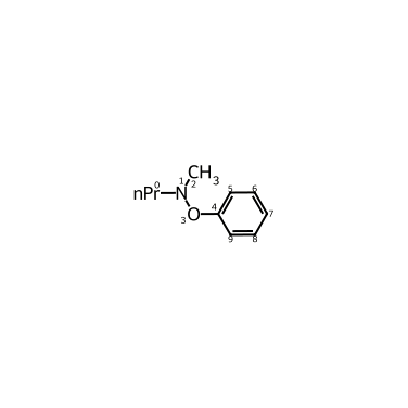 CCCN(C)Oc1ccccc1